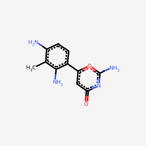 Cc1c(N)ccc(-c2cc(=O)nc(N)o2)c1N